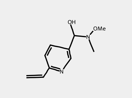 C=Cc1ccc(C(O)N(C)OC)cn1